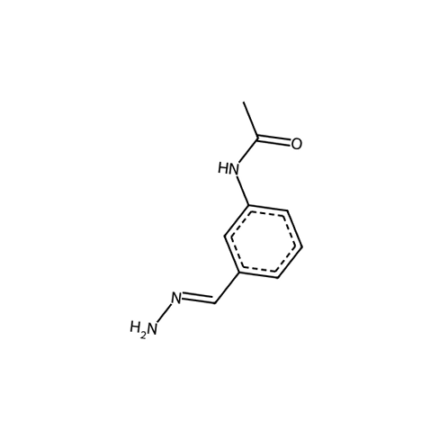 CC(=O)Nc1cccc(C=NN)c1